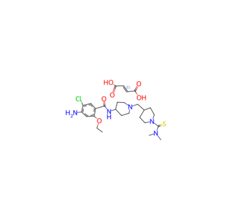 CCOc1cc(N)c(Cl)cc1C(=O)NC1CCN(CC2CCN(C(=S)N(C)C)CC2)CC1.O=C(O)/C=C/C(=O)O